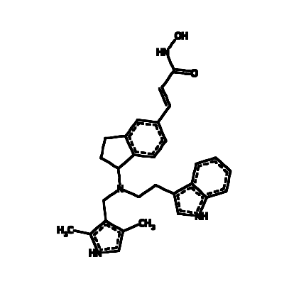 Cc1c[nH]c(C)c1CN(CCc1c[nH]c2ccccc12)C1CCc2cc(C=CC(=O)NO)ccc21